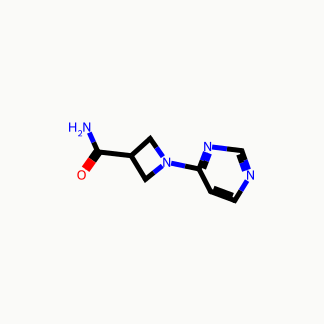 NC(=O)C1CN(c2ccncn2)C1